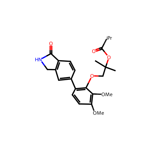 COc1ccc(-c2ccc3c(c2)CNC3=O)c(OCC(C)(C)OC(=O)C(C)C)c1OC